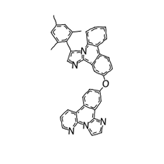 Cc1cc(C)c(-c2cnc3c4cc(Oc5ccc6c7cccnc7n7ccnc7c6c5)ccc4c4ccccc4n23)c(C)c1